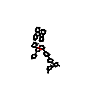 Cc1ccc2c(c1)c1cc(C)ccc1n2-c1ccc(-c2ccc(-c3ccc(N(c4ccc5c(c4)C(c4ccccc4)(c4ccccc4)c4ccccc4-5)c4ccccc4-c4cccc(-c5ccccc5)c4)cc3)cc2)cc1